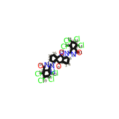 O=C1c2cccc(NC3=NC(=O)c4c(Cl)c(Cl)c(Cl)c(Cl)c43)c2C(=O)c2cccc(NC3=NC(=O)c4c(Cl)c(Cl)c(Cl)c(Cl)c43)c21